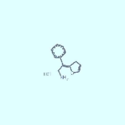 Cl.NCC(=C1CC=CO1)c1ccccc1